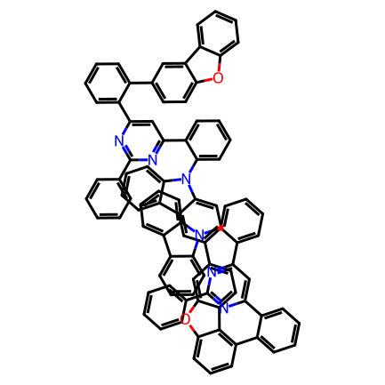 c1ccc(-c2nc(-c3ccccc3-c3ccc4oc5ccccc5c4c3)cc(-c3ccccc3-n3c4ccccc4c4cc(-c5ccc6c(c5)oc5cccc(-c7ccccc7-c7cc(-c8ccccc8-n8c9ccccc9c9ccccc98)nc(-c8ccccc8)n7)c56)ccc43)n2)cc1